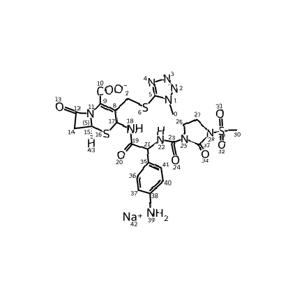 Cn1nnnc1SCC1=C(C(=O)[O-])N2C(=O)C[C@@H]2SC1NC(=O)C(NC(=O)N1CCN(S(C)(=O)=O)C1=O)c1ccc(N)cc1.[Na+]